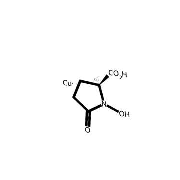 O=C(O)[C@@H]1CCC(=O)N1O.[Cu]